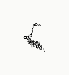 CCCCCCCCCCCCCCCCCCOC[C@H](COP(=O)(O)OC1[C@H]2O[C@@](C#N)(c3ccc4c(N)ncnn34)[C@H](O)[C@@]12O)N1C(=O)c2ccccc2C1=O